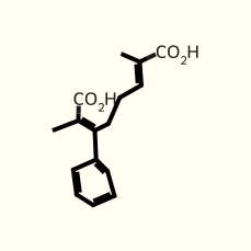 CC(=CCCC(=C(C)C(=O)O)c1ccccc1)C(=O)O